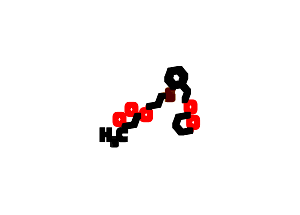 CC(=O)CC(=O)OCCCSc1ccccc1CCOC1CCCCO1